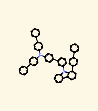 c1ccc(-c2ccc(-c3cccc4c5ccccc5n(-c5cccc(-c6ccc(N(c7ccc(-c8ccccc8)cc7)c7ccc(-c8ccccc8)cc7)cc6)c5)c34)cc2)cc1